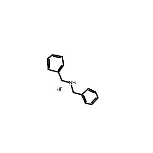 F.c1ccc(CNCc2ccccc2)cc1